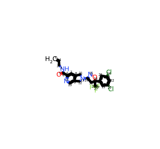 C=CCNC(=O)c1cc2c(cn1)CN(C1=NOC(c3cc(Cl)cc(Cl)c3)(C(F)(F)F)C1)C2